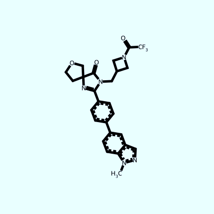 Cn1ncc2cc(-c3ccc(C4=NC5(CCOC5)C(=O)N4CC4CN(C(=O)C(F)(F)F)C4)cc3)ccc21